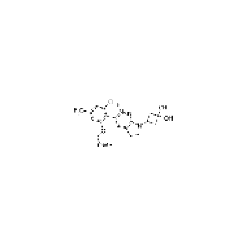 COCOc1cc(C(F)(F)F)cc(C)c1-c1cc2c(nn1)N(C1CC(C)(O)C1)CC2